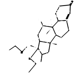 CCC(=O)O[C@]1(C(=O)CCl)C(C)C[C@H]2[C@@H]3CCC4=CC(=O)CC[C@]4(C)[C@@]3(F)C(O)C[C@@]21C